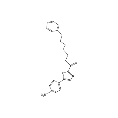 O=C(CCCCCCc1ccccc1)c1ncc(-c2ccc([N+](=O)[O-])cc2)o1